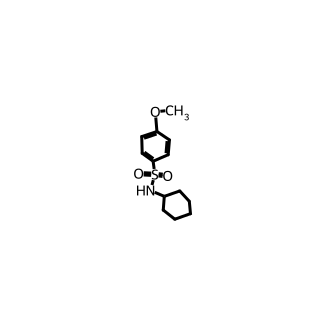 COc1ccc(S(=O)(=O)NC2CCCCC2)cc1